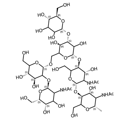 CC(=O)NC1C(O)[C@H](O)[C@H](CO)O[C@H]1OC1[C@@H](OCC2O[C@@H](O[C@@H]3C(CO)O[C@@H](O[C@@H]4C(CO)O[C@@H](C)C(NC(C)=O)[C@H]4O)C(NC(C)=O)[C@H]3O)C(O)[C@@H](O[C@H]3O[C@H](CO)[C@@H](O)C(O)C3O)[C@@H]2O)OC(CO)[C@@H](O)[C@@H]1O